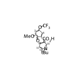 COc1cc(OC(F)(F)F)ccc1Oc1cc(C(C)(C)C)ncc1C(=O)O